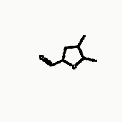 CC1CC(C=O)OC1C